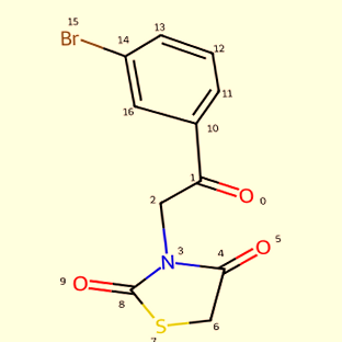 O=C(CN1C(=O)CSC1=O)c1cccc(Br)c1